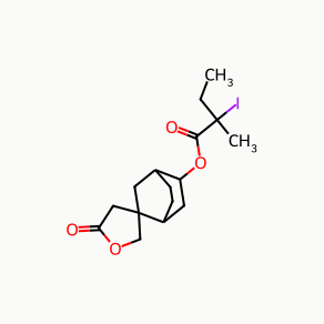 CCC(C)(I)C(=O)OC1CC2CCC1CC21COC(=O)C1